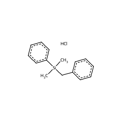 C[Si](C)(Cc1ccccc1)c1ccccc1.Cl